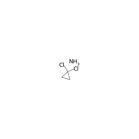 ClC1(Cl)CC1.N